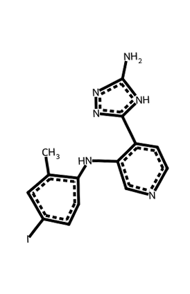 Cc1cc(I)ccc1Nc1cnccc1-c1nnc(N)[nH]1